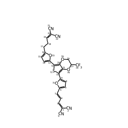 N#CC(C#N)=C/C=C/c1ccc(-c2sc(-c3ccc(CCC=C(C#N)C#N)o3)c3c2OC(C(F)(F)F)CO3)o1